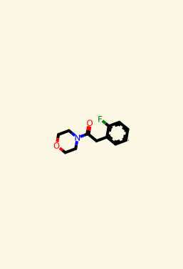 O=C(Cc1c[c]ccc1F)N1CCOCC1